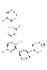 O=C1NCCCN1c1ccc(-c2cc(F)cc(-c3ccnc(N4CCNCC4)c3)c2O)cc1F